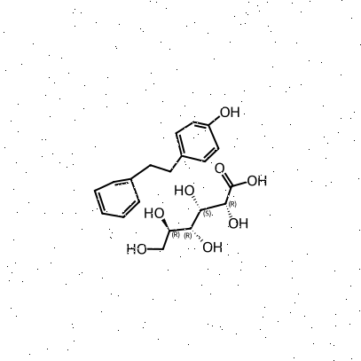 O=C(O)[C@H](O)[C@@H](O)[C@H](O)[C@H](O)CO.Oc1ccc(CCc2ccccc2)cc1